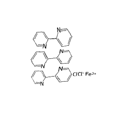 [Cl-].[Cl-].[Fe+2].c1ccc(-c2ccccn2)nc1.c1ccc(-c2ccccn2)nc1.c1ccc(-c2ccccn2)nc1